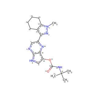 Cn1nc(-c2cnc3[nH]cc(OC(=O)NC(C)(C)C)c3n2)c2c1CCCC2